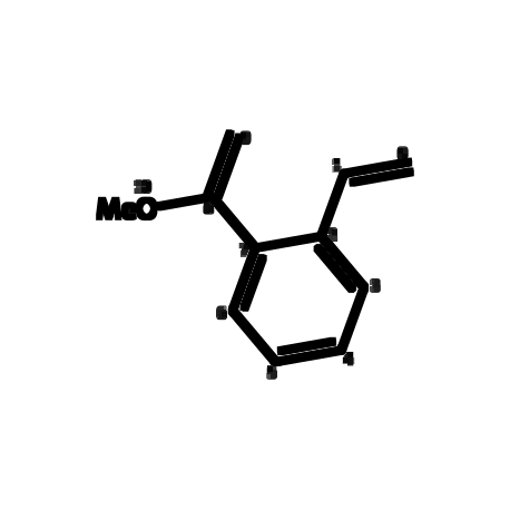 C=Cc1ccccc1C(=C)OC